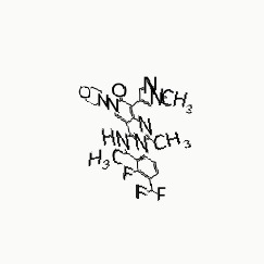 Cc1nc(N[C@H](C)c2cccc(C(F)F)c2F)c2cn(N3CCOCC3)c(=O)c(-c3cnn(C)c3)c2n1